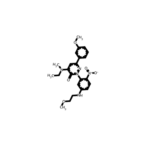 CCN(C)c1cc(-c2cccc(OC)c2)nn(-c2cc(NCCOC)ccc2[N+](=O)[O-])c1=O